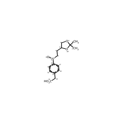 CC1(C)OCC(CC[S@+]([O-])c2ccc(CC(=O)O)cc2)O1